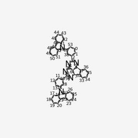 c1cc(-c2nc3c4c(nc(-c5cccc(-n6c7ccccc7c7ccccc76)c5)nc4n2)-c2ccccc2-3)cc(-n2c3ccccc3c3ccccc32)c1